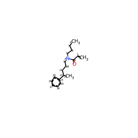 C=CC(=O)N(CCCC)CCCC(C)c1ccccc1